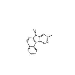 Cc1cc2c(cn1)-c1c(cnc3ccccc13)C2=O